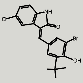 CC(C)(C)c1cc(C=C2C(=O)Nc3ccc(Cl)cc32)cc(Br)c1O